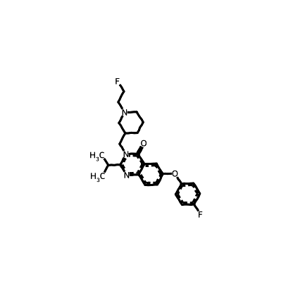 CC(C)c1nc2ccc(Oc3ccc(F)cc3)cc2c(=O)n1CC1CCCN(CCF)C1